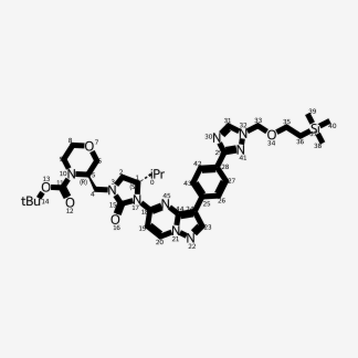 CC(C)[C@H]1CN(C[C@@H]2COCCN2C(=O)OC(C)(C)C)C(=O)N1c1ccn2ncc(-c3ccc(-c4ncn(COCC[Si](C)(C)C)n4)cc3)c2n1